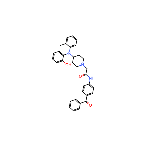 Cc1ccccc1N(c1ccccc1O)C1CCN(CC(=O)Nc2ccc(C(=O)c3ccccc3)cc2)CC1